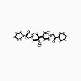 O=C(CN1[C+]=CC(=C2C=[C+]N(CC(=O)N3CCCCC3)C=C2)C=C1)N1CCCCC1.[Cl-].[Cl-]